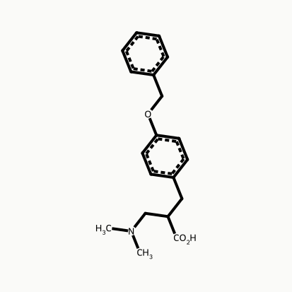 CN(C)CC(Cc1ccc(OCc2ccccc2)cc1)C(=O)O